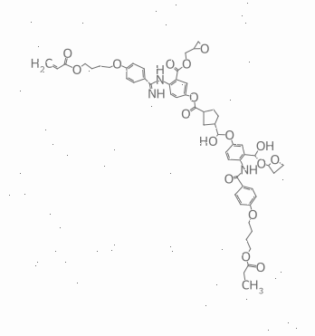 C=CC(=O)OCCCCOc1ccc(C(=N)Nc2ccc(OC(=O)C3CCC(C(O)Oc4ccc(NC(=O)c5ccc(OCCCCOC(=O)CC)cc5)c(C(O)OC5CCO5)c4)C3)cc2C(=O)OCC2CO2)cc1